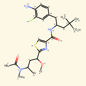 CCCCCCN(C(=O)CCCC)C(CC(OCC)c1nc(C(=O)NC(Cc2ccc(N)c(F)c2)CC(C)(C)C(=O)O)cs1)C(C)C